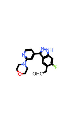 O=CCc1cc2c(-c3ccnc(N4CCOCC4)c3)n[nH]c2cc1F